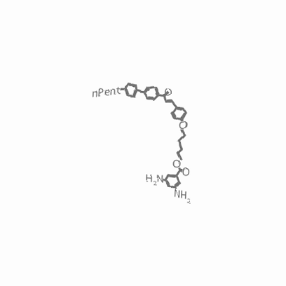 CCCCCc1ccc(-c2ccc(C(=O)C=Cc3ccc(OCCCCCCOC(=O)c4cc(N)cc(N)c4)cc3)cc2)cc1